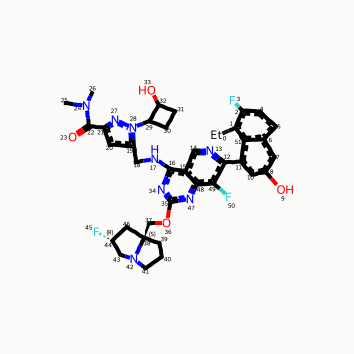 CCc1c(F)ccc2cc(O)cc(-c3ncc4c(NCc5cc(C(=O)N(C)C)nn5C5CCC5O)nc(OC[C@@]56CCCN5C[C@H](F)C6)nc4c3F)c12